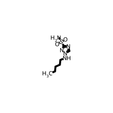 CCCCCNn1cnc(S(N)(=O)=O)n1